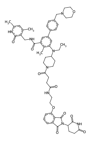 CCN(c1cc(-c2ccc(CN3CCOCC3)cc2)cc(C(=O)NCc2c(C)cc(C)[nH]c2=O)c1C)C1CCN(C(=O)CCC(=O)NCCOc2cccc3c2C(=O)N(C2CCC(=O)NC2=O)C3=O)CC1